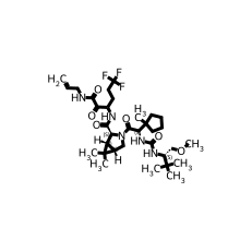 C=CCNC(=O)C(=O)C(CCC(F)(F)F)NC(=O)[C@@H]1[C@@H]2[C@H](CN1C(=O)[C@@H](NC(=O)N[C@H](COC)C(C)(C)C)C1(C)CCCC1)C2(C)C